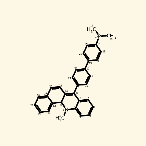 CN1c2ccccc2C(c2ccc(-c3ccc(P(C)C)cc3)cc2)=C2C=Cc3ccccc3C21